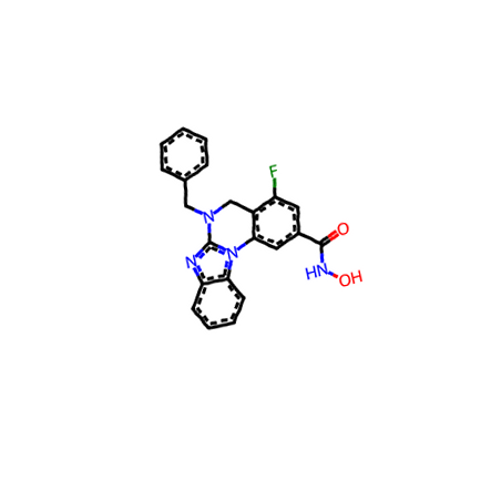 O=C(NO)c1cc(F)c2c(c1)-n1c(nc3ccccc31)N(Cc1ccccc1)C2